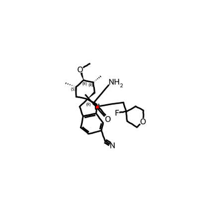 CO[C@H]1[C@H](C)C[C@@]2(Cc3ccc(C#N)cc3[C@]23N=C(N)N(CC2(F)CCOCC2)C3=O)C[C@@H]1C